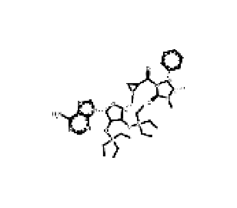 CC[Si](CC)(CC)OC1C(O[Si](CC)(CC)CC)[C@@H](CN2CC2C(=O)N2C(=O)N(C)[C@@H](C)[C@H]2c2ccccc2)O[C@H]1n1cnc2c(N)ncnc21